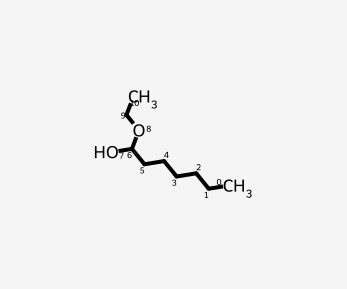 CCCCCCC(O)OCC